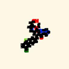 CCOC(=O)[C@@H](C[C@@H](Cc1ccc(-c2cc(Cl)ccc2F)cc1)NC(=O)c1cnn[nH]1)CN1CC(CO)C1